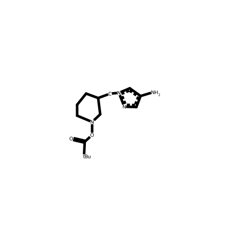 CC(C)(C)C(=O)ON1CCCC(Cn2cc(N)cn2)C1